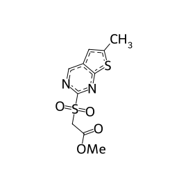 COC(=O)CS(=O)(=O)c1ncc2cc(C)sc2n1